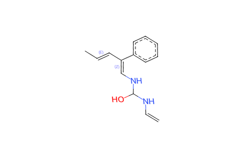 C=CNC(O)N/C=C(/C=C/C)c1ccccc1